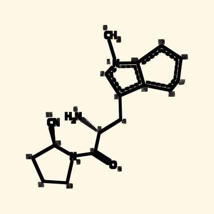 Cn1cc(C[C@@H](N)C(=O)N2CCC[C@H]2C#N)c2ccccc21